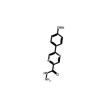 COc1ccc(-c2cnc(C(=O)NN)cn2)cc1